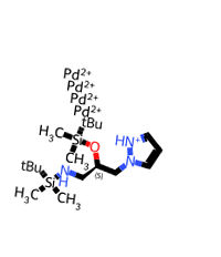 CC(C)(C)[Si](C)(C)NC[C@H](Cn1ccc[nH+]1)O[Si](C)(C)C(C)(C)C.[Pd+2].[Pd+2].[Pd+2].[Pd+2]